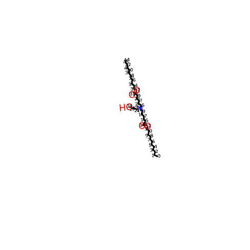 CCCCCCCCCCCCOC(=O)CCCCCN(CCCO)CCCCCC(=O)OCCCCCCCCCCCC